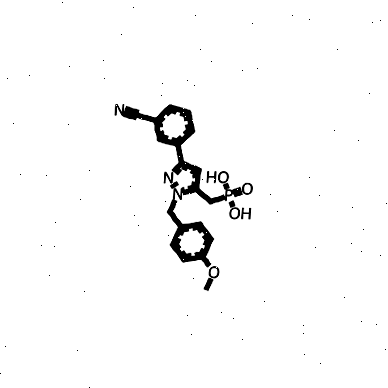 COc1ccc(Cn2nc(-c3cccc(C#N)c3)cc2CP(=O)(O)O)cc1